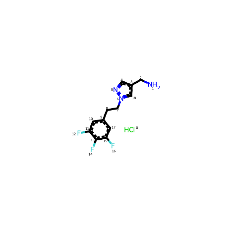 Cl.NCc1cnn(CCc2cc(F)c(F)c(F)c2)c1